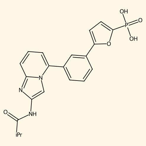 CC(C)C(=O)Nc1cn2c(-c3cccc(-c4ccc(P(=O)(O)O)o4)c3)cccc2n1